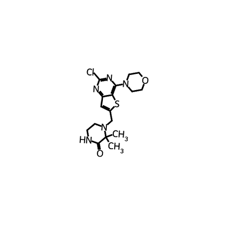 CC1(C)C(=O)NCCN1Cc1cc2nc(Cl)nc(N3CCOCC3)c2s1